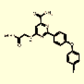 COC(=O)CNc1cc(C(N)=O)nc(-c2ccc(Oc3ccc(F)cc3)cc2)n1